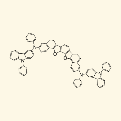 c1ccc(N(c2ccc3c(ccc4c5ccc6c7ccc8cc(N(c9ccccc9)c9ccc%10c(c9)c9ccccc9n%10-c9ccccc9)ccc8c7oc6c5oc34)c2)c2ccc3c(c2)c2ccccc2n3-c2ccccc2)cc1